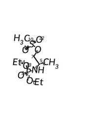 CCOP(=O)(N[C@H](C)COS(C)(=O)=O)OCC